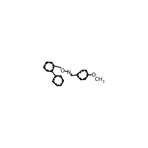 COc1ccc(/[C]=N/OCc2ccccc2-c2ccccc2)cc1